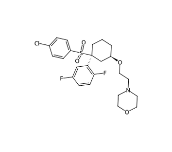 O=S(=O)(c1ccc(Cl)cc1)[C@@]1(c2cc(F)ccc2F)CCC[C@@H](OCCN2CCOCC2)C1